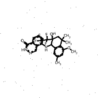 COc1cc(C)cc2c1C(C)(C)CC(O)(C(F)(F)C(F)(F)F)C2Nc1cccc2c(=O)[nH]ncc12